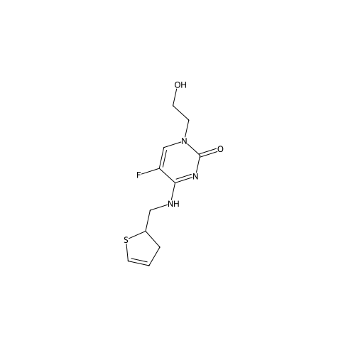 O=c1nc(NCC2CC=CS2)c(F)cn1CCO